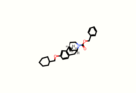 O=C(OCc1ccccc1)N1CC[C@]23CCCC[C@H]2[C@H]1Cc1ccc(OC[C]2CCCCC2)cc13